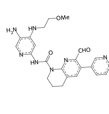 COCCNc1cc(NC(=O)N2CCCc3cc(-c4cccnc4)c(C=O)nc32)ncc1N